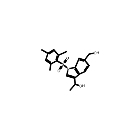 Cc1cc(C)c(S(=O)(=O)n2cc(C(C)O)c3ccc(CO)cc32)c(C)c1